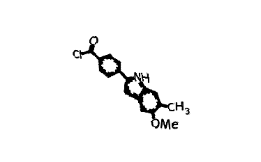 COc1cc2cc(-c3ccc(C(=O)Cl)cc3)[nH]c2cc1C